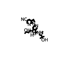 CC(O)CCNc1cc(-n2ccc3cc(C#N)cnc32)ncc1C(=O)NCC(F)C(C)(C)O